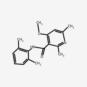 COc1cc(C)nc(C)c1C(=O)Nc1c(C)cccc1C